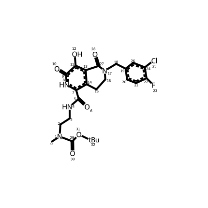 CN(CCNC(=O)c1[nH]c(=O)c(O)c2c1CCN(Cc1ccc(F)c(Cl)c1)C2=O)C(=O)OC(C)(C)C